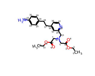 CCOC(=O)CN(CC(=O)OCC)Cc1cc(CCc2ccc(N)cc2)ccn1